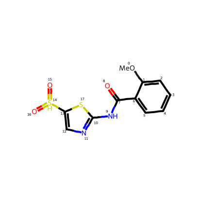 COc1ccccc1C(=O)Nc1ncc([SH](=O)=O)s1